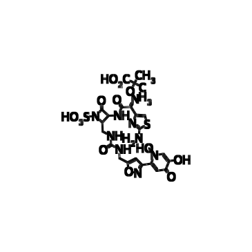 CC(C)(O/N=C(\C(=O)NC1C(=O)N(S(=O)(=O)O)C1CNC(=O)NCc1cc(-c2cc(=O)c(O)cn2O)no1)c1csc(N)n1)C(=O)O